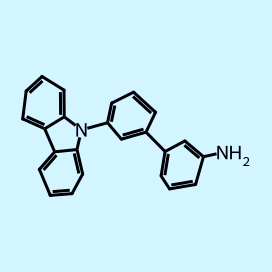 Nc1cccc(-c2cccc(-n3c4ccccc4c4ccccc43)c2)c1